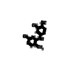 [C-]#[N+]c1ccc(Nc2nc(Cl)ncc2C)cc1Cl